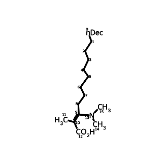 CCCCCCCCCCCCCCCCCCC(=C(C)C(=O)O)N(C)C